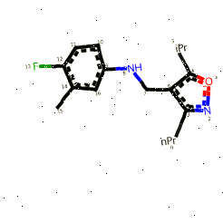 CCCc1noc(C(C)C)c1CNc1ccc(F)c(C)c1